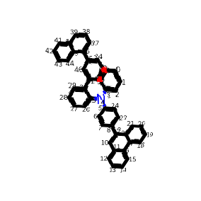 c1ccc(N(c2ccc(-c3cc4ccccc4c4ccccc34)cc2)c2ccccc2-c2cccc(-c3cccc4ccccc34)c2)cc1